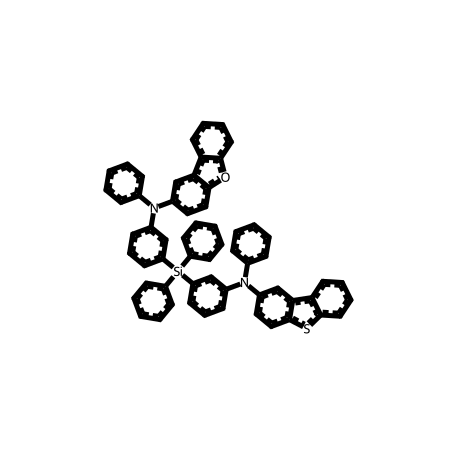 c1ccc(N(c2cccc([Si](c3ccccc3)(c3ccccc3)c3cccc(N(c4ccccc4)c4ccc5sc6ccccc6c5c4)c3)c2)c2ccc3oc4ccccc4c3c2)cc1